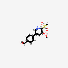 COc1cc(-c2ccc(C=O)cc2)cnc1S(C)(=O)=O